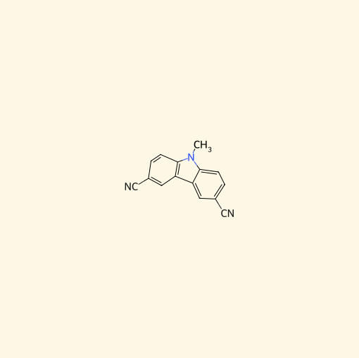 Cn1c2ccc(C#N)cc2c2cc(C#N)ccc21